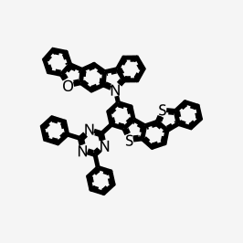 c1ccc(-c2nc(-c3ccccc3)nc(-c3cc(-n4c5ccccc5c5cc6c(cc54)oc4ccccc46)cc4c3sc3ccc5c6ccccc6sc5c34)n2)cc1